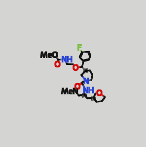 CNC[C@H](C[C@@H]1CCCOC1)NC(=O)N1CCC[C@@H](C(OCCNC(=O)OC)c2cccc(F)c2)C1